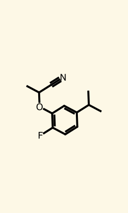 CC(C#N)Oc1cc(C(C)C)ccc1F